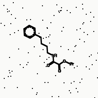 CC(C)OC(=O)C(=O)NCCCCc1ccccc1